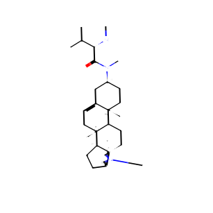 CN[C@@H](C(=O)N(C)[C@H]1CC[C@@]2(C)C(=CC[C@@H]3C2CC[C@]24CN(C)[C@@H](C)C2CC[C@@H]34)C1)C(C)C